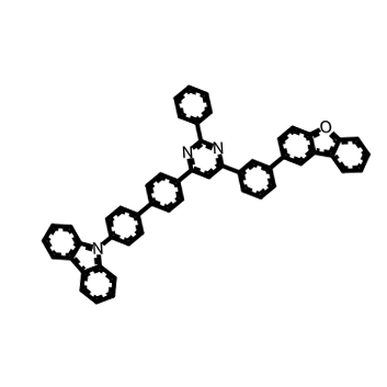 c1ccc(-c2nc(-c3ccc(-c4ccc(-n5c6ccccc6c6ccccc65)cc4)cc3)cc(-c3cccc(-c4ccc5oc6ccccc6c5c4)c3)n2)cc1